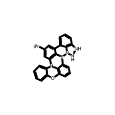 CC(C)c1cc2c3c(c1)N1c4ccccc4Oc4cccc(c41)B3N1NNc3cccc-2c31